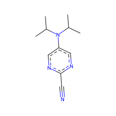 CC(C)N(c1cnc(C#N)nc1)C(C)C